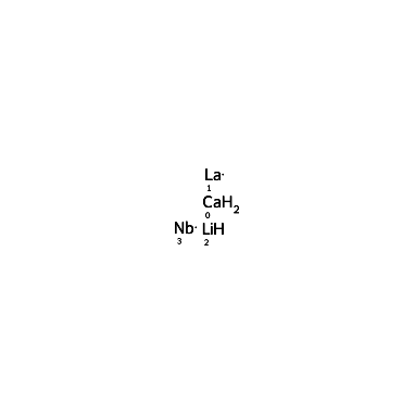 [CaH2].[La].[LiH].[Nb]